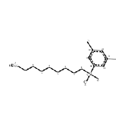 CCCCCCCCCCCCCCCCCC[Si](C)(Cl)c1cc(C)cc(C)c1